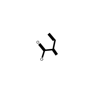 C=CC(=C)C([O])=O